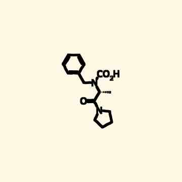 C[C@H](C(=O)N1CCCC1)N(Cc1ccccc1)C(=O)O